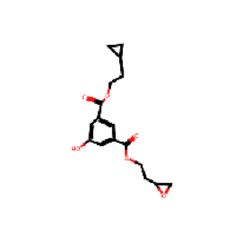 O=C(OCCC1CC1)c1cc(O)cc(C(=O)OCCC2CO2)c1